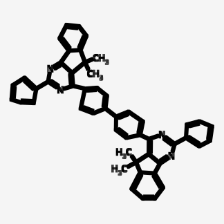 CC1(C)c2ccccc2-c2nc(-c3ccccc3)nc(-c3ccc(-c4ccc(-c5nc(-c6ccccc6)nc6c5C(C)(C)c5ccccc5-6)cc4)cc3)c21